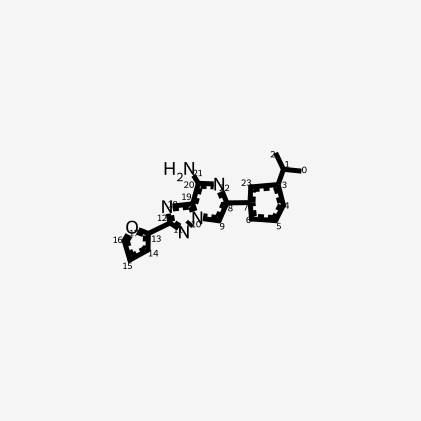 CC(C)c1cccc(-c2cn3nc(-c4ccco4)nc3c(N)n2)c1